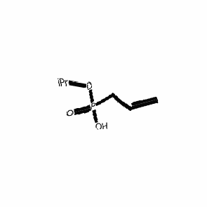 C=CCP(=O)(O)OC(C)C